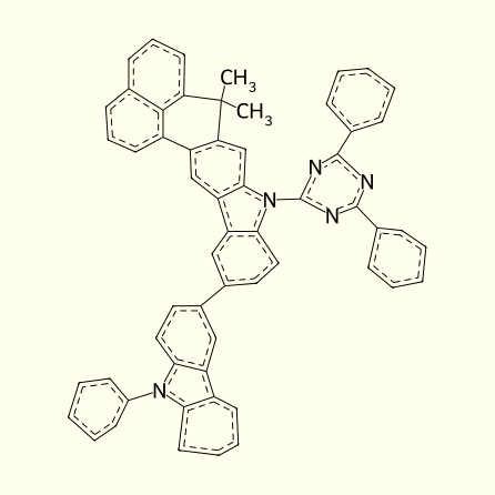 CC1(C)c2cc3c(cc2-c2cccc4cccc1c24)c1cc(-c2ccc4c(c2)c2ccccc2n4-c2ccccc2)ccc1n3-c1nc(-c2ccccc2)nc(-c2ccccc2)n1